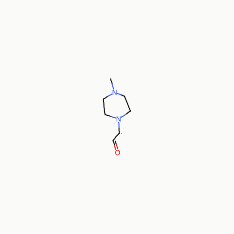 CN1CCN([CH]C=O)CC1